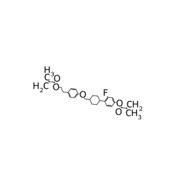 C=C(C)C(=O)OCCc1ccc(OCC2CCC(c3ccc(OC(=O)C(=C)C)cc3F)CC2)cc1